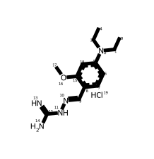 CCN(CC)c1ccc(C=NNC(=N)N)c(OC)c1.Cl